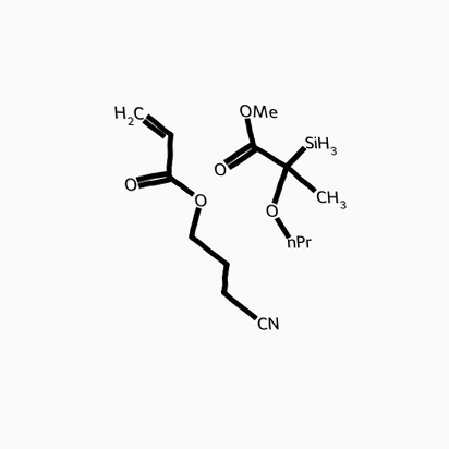 C=CC(=O)OCCCC#N.CCCOC(C)([SiH3])C(=O)OC